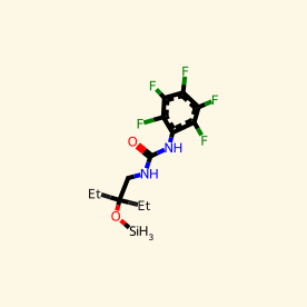 CCC(CC)(CNC(=O)Nc1c(F)c(F)c(F)c(F)c1F)O[SiH3]